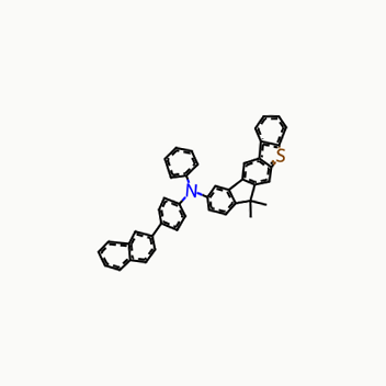 CC1(C)c2ccc(N(c3ccccc3)c3ccc(-c4ccc5ccccc5c4)cc3)cc2-c2cc3c(cc21)sc1ccccc13